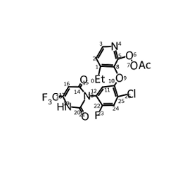 CCc1ccnc(OOC(C)=O)c1Oc1cc(-n2c(=O)cc(C(F)(F)F)[nH]c2=O)c(F)cc1Cl